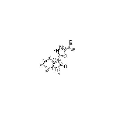 Cn1c(=O)n(-c2nnc(C(F)F)o2)c2ccccc21